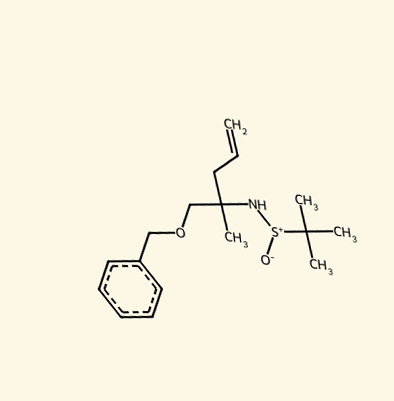 C=CCC(C)(COCc1ccccc1)N[S+]([O-])C(C)(C)C